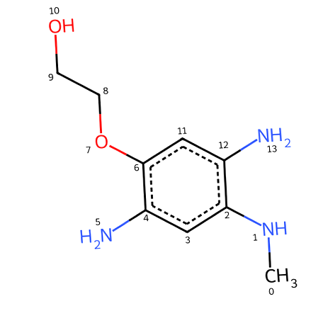 CNc1cc(N)c(OCCO)cc1N